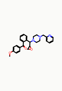 COc1ccc(C(=O)c2ccccc2C(C2CO2)N2CCN(Cc3ccccn3)CC2)cc1